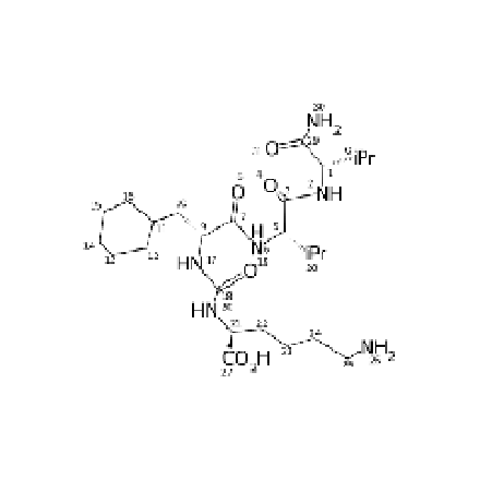 CC(C)[C@H](NC(=O)[C@@H](NC(=O)[C@@H](CC1CCCCC1)NC(=O)N[C@@H](CCCCN)C(=O)O)C(C)C)C(N)=O